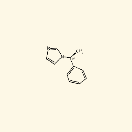 C[C@@H](c1ccccc1)n1ccnc1